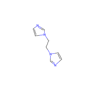 [CH](Cn1ccnc1)n1ccnc1